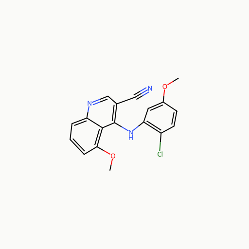 COc1ccc(Cl)c(Nc2c(C#N)cnc3cccc(OC)c23)c1